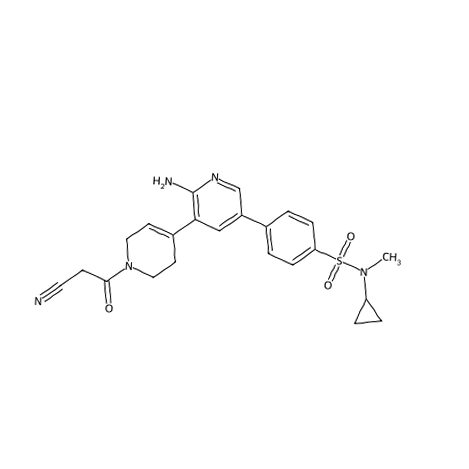 CN(C1CC1)S(=O)(=O)c1ccc(-c2cnc(N)c(C3=CCN(C(=O)CC#N)CC3)c2)cc1